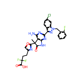 CC1(c2nc(CCC(F)(F)C(=O)O)co2)C(=O)Nc2nc(-c3nn(Cc4ccccc4F)c4cc(Cl)ccc34)nc(N)c21